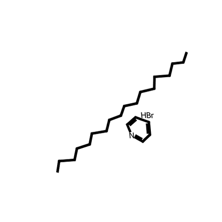 Br.CCCCCCCCCCCCCCCCCC.c1ccncc1